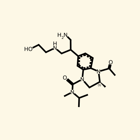 CC(=O)N1c2ccc(C(CN)CNCCO)cc2N(C(=O)N(C)C(C)C)C[C@@H]1C